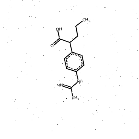 CCCC(C(=O)O)c1ccc(NC(=N)N)cc1